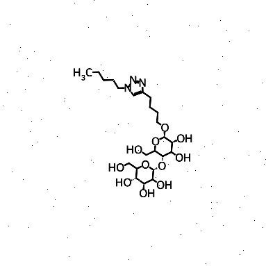 CCCCCn1cc(CCCCO[C@@H]2OC(CO)[C@@H](O[C@H]3OC(CO)[C@@H](O)[C@H](O)C3O)C(O)[C@@H]2O)nn1